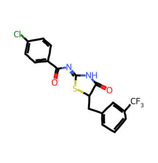 O=C(/N=C1/NC(=O)C(Cc2cccc(C(F)(F)F)c2)S1)c1ccc(Cl)cc1